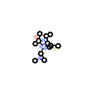 c1ccc(-n2c3ccccc3c3cc(-c4nc(-c5ccc6c(c5)sc5ccccc56)nc(-c5c(-n6c7cc8ccccc8cc7c7c8ccccc8ccc76)c6c7ccccc7oc6c6ccccc56)n4)ccc32)cc1